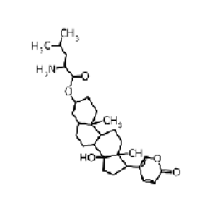 CC(C)CC(N)C(=O)OC1CCC2(C)C(CCC3C2CCC2(C)C(c4ccc(=O)oc4)CCC32O)C1